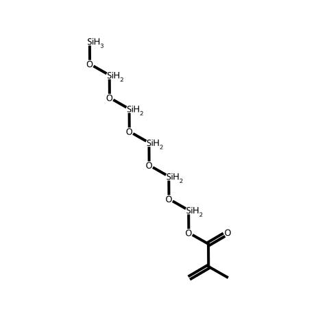 C=C(C)C(=O)O[SiH2]O[SiH2]O[SiH2]O[SiH2]O[SiH2]O[SiH3]